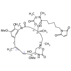 COc1cc2cc(c1Cl)N(C)C(=O)C[C@H](OC(=O)[C@H](C)N(C)C(=O)CCCCCN1C(=O)C=CC1=O)[C@](C)(O)CC[C@H](C)[C@@H]1C[C@@](O)(NC(=O)O1)[C@H](OC)/C=C/C=C(\C)C2